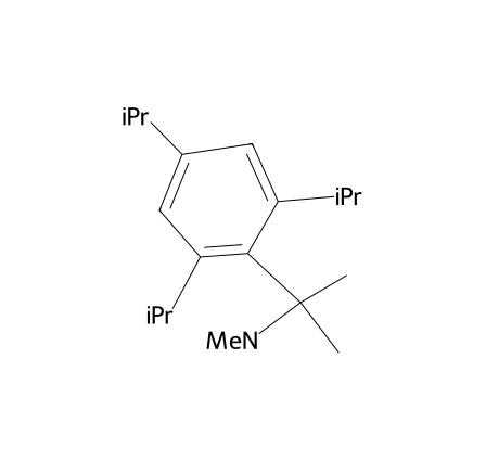 CNC(C)(C)c1c(C(C)C)cc(C(C)C)cc1C(C)C